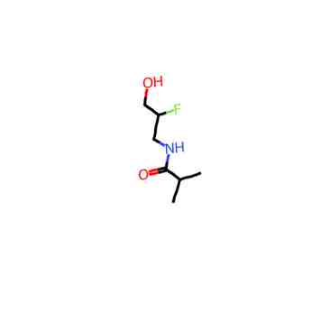 CC(C)C(=O)NCC(F)CO